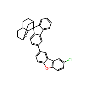 Clc1ccc2oc3ccc(-c4ccc5c(c4)-c4ccccc4C54C5CCC6CCC(C5)CC64)cc3c2c1